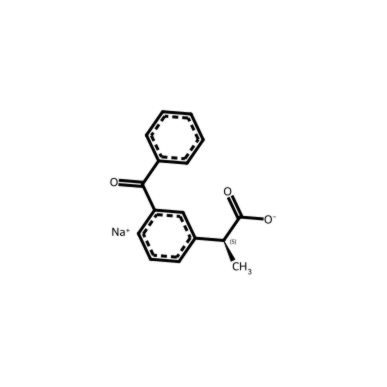 C[C@H](C(=O)[O-])c1cccc(C(=O)c2ccccc2)c1.[Na+]